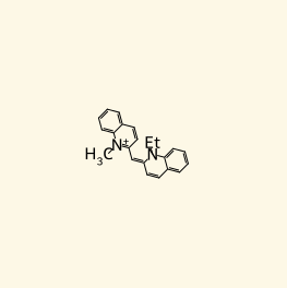 CCN1C(=Cc2ccc3ccccc3[n+]2C)C=Cc2ccccc21